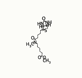 COC(=O)CCCCCN(C)C(=O)CCCC[C@@H]1SC[C@@H]2NC(=O)N[C@@H]21